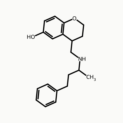 CC(CCc1ccccc1)NCC1CCOc2ccc(O)cc21